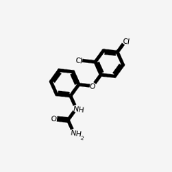 NC(=O)Nc1ccccc1Oc1ccc(Cl)cc1Cl